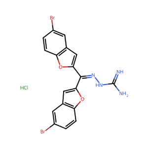 Cl.N=C(N)NN=C(c1cc2cc(Br)ccc2o1)c1cc2cc(Br)ccc2o1